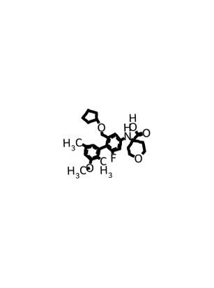 COc1cc(C)cc(-c2c(F)cc(NC3(C(=O)O)CCOCC3)cc2COC2CCCC2)c1C